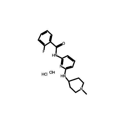 CN1CCC(Nc2cccc(NC(=O)c3ccccc3F)n2)CC1.Cl.Cl